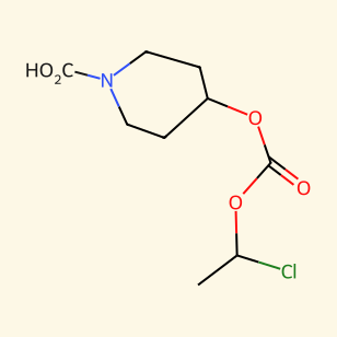 CC(Cl)OC(=O)OC1CCN(C(=O)O)CC1